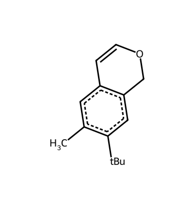 Cc1cc2c(cc1C(C)(C)C)COC=C2